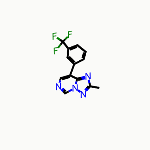 Cc1nc2c(-c3cccc(C(F)(F)F)c3)cncn2n1